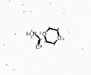 C1COCCO1.NC=O